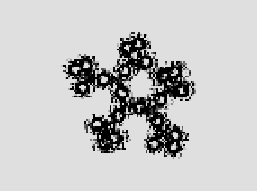 c1ccc(N(c2ccc(N(c3ccc(N(c4ccc(N(c5ccccc5)c5cccc6ccccc56)cc4)c4ccc(N(c5ccccc5)c5cccc6ccccc56)cc4)cc3)c3ccc(N(c4ccc(N(c5ccccc5)c5cccc6ccccc56)cc4)c4ccc(N(c5ccccc5)c5cccc6ccccc56)cc4)cc3)cc2)c2cccc3ccccc23)cc1